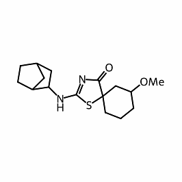 COC1CCCC2(C1)SC(NC1CC3CCC1C3)=NC2=O